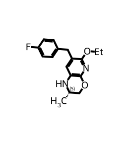 CCOc1nc2c(cc1Cc1ccc(F)cc1)N[C@@H](C)CO2